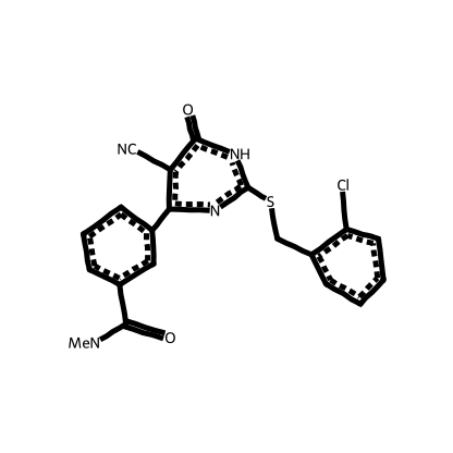 CNC(=O)c1cccc(-c2nc(SCc3ccccc3Cl)[nH]c(=O)c2C#N)c1